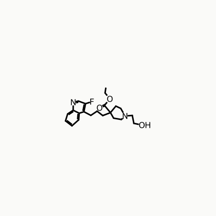 CCOC(=O)C1(CCCc2c(F)cnc3ccccc23)CCN(CCO)CC1